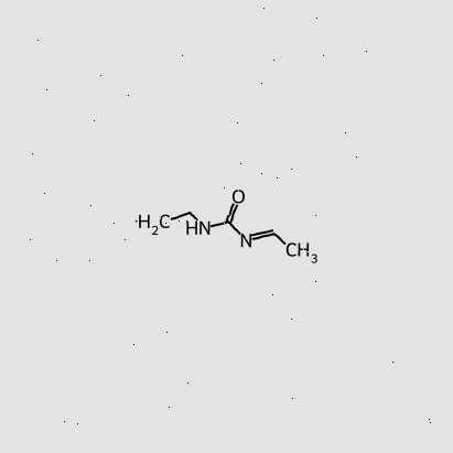 [CH2]CNC(=O)N=CC